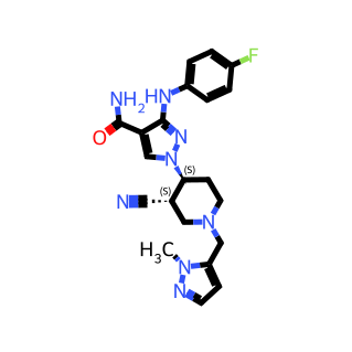 Cn1nccc1CN1CC[C@H](n2cc(C(N)=O)c(Nc3ccc(F)cc3)n2)[C@@H](C#N)C1